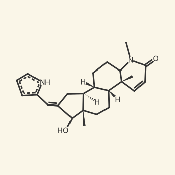 CN1C(=O)C=C[C@@]2(C)C1CC[C@@H]1[C@H]2CC[C@]2(C)C(O)C(=Cc3ccc[nH]3)C[C@@H]12